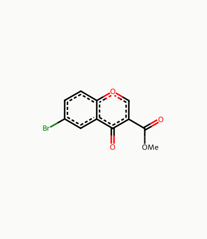 COC(=O)c1coc2ccc(Br)cc2c1=O